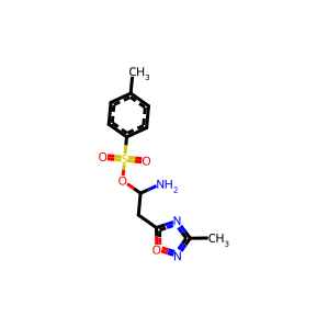 Cc1ccc(S(=O)(=O)OC(N)Cc2nc(C)no2)cc1